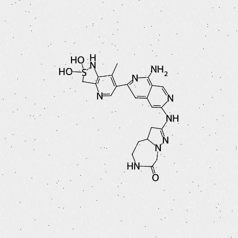 Cc1c(-c2cc3cc(NC4=NN5CC(=O)NCCC5C4)ncc3c(N)n2)cnc2c1NS(O)(O)C2